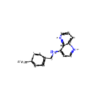 COc1ccc(CNc2ccnc3cccnc23)cc1